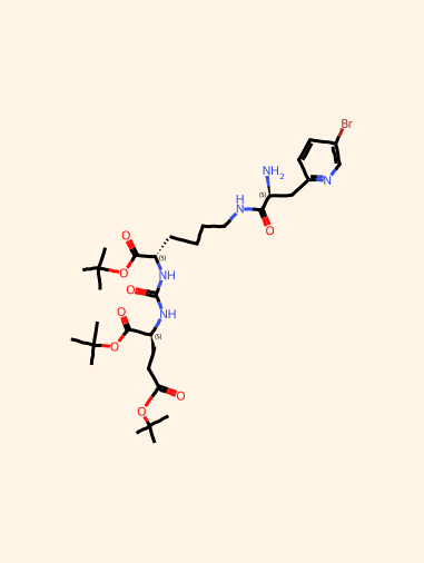 CC(C)(C)OC(=O)CC[C@H](NC(=O)N[C@@H](CCCCNC(=O)[C@@H](N)Cc1ccc(Br)cn1)C(=O)OC(C)(C)C)C(=O)OC(C)(C)C